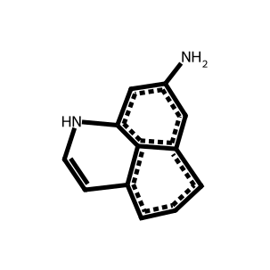 Nc1cc2c3c(cccc3c1)C=CN2